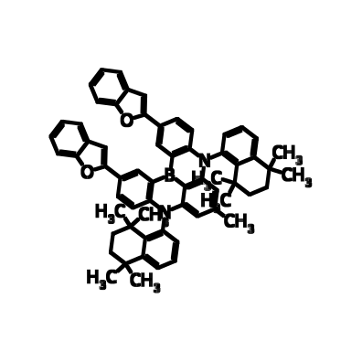 Cc1cc2c3c(c1)N(c1cccc4c1C(C)(C)CCC4(C)C)c1ccc(-c4cc5ccccc5o4)cc1B3c1cc(-c3cc4ccccc4o3)ccc1N2c1cccc2c1C(C)(C)CCC2(C)C